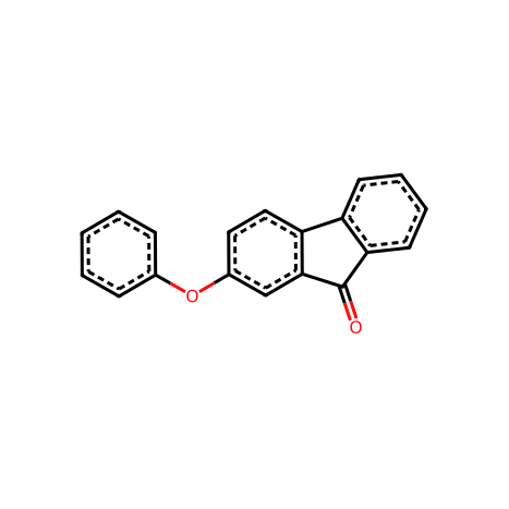 O=C1c2ccccc2-c2ccc(Oc3ccccc3)cc21